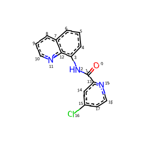 O=C(Nc1cccc2cccnc12)c1cc(Cl)ccn1